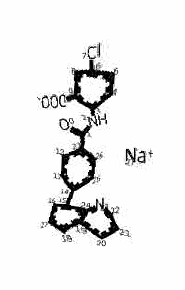 O=C(Nc1ccc(Cl)cc1C(=O)[O-])c1ccc(-c2cccc3cccnc23)cc1.[Na+]